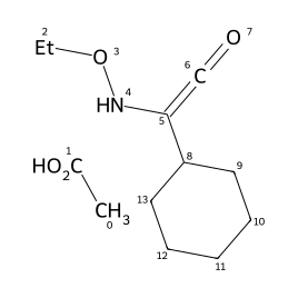 CC(=O)O.CCONC(=C=O)C1CCCCC1